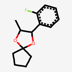 [CH2]C1OC2(CCCC2)OC1c1ccccc1F